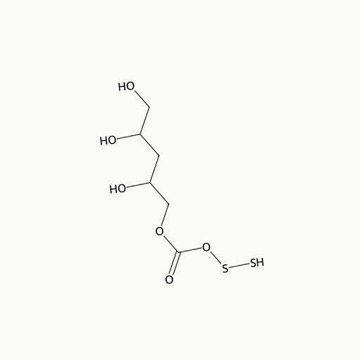 O=C(OCC(O)CC(O)CO)OSS